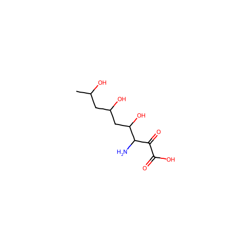 CC(O)CC(O)CC(O)C(N)C(=O)C(=O)O